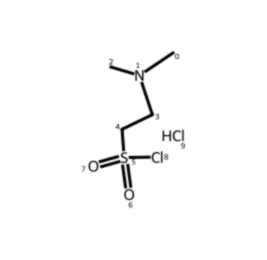 CN(C)CCS(=O)(=O)Cl.Cl